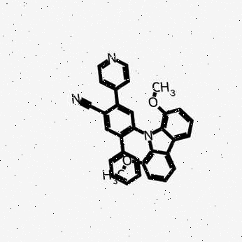 COc1cccc2c3cccc(OC)c3n(-c3cc(-c4ccncc4)c(C#N)cc3-c3ccccc3)c12